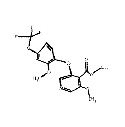 COC(=O)c1c(OC)cncc1Oc1ccc(OC(F)(F)F)cc1OC